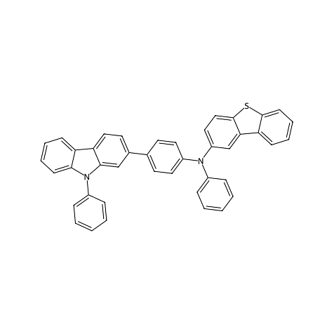 c1ccc(N(c2ccc(-c3ccc4c5ccccc5n(-c5ccccc5)c4c3)cc2)c2ccc3sc4ccccc4c3c2)cc1